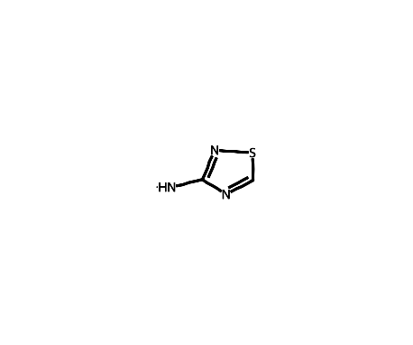 [NH]c1ncsn1